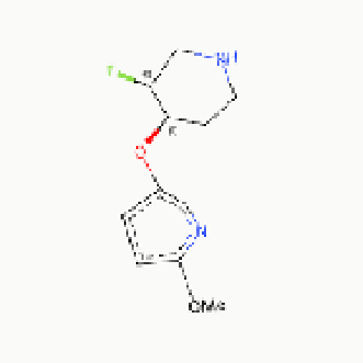 COc1ccc(O[C@@H]2CCNC[C@@H]2F)cn1